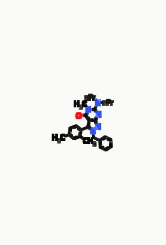 CCCN(CCC)c1nc2nn(Cc3ccccc3)c(-c3ccc(C)cc3C)c2c(=O)n1C